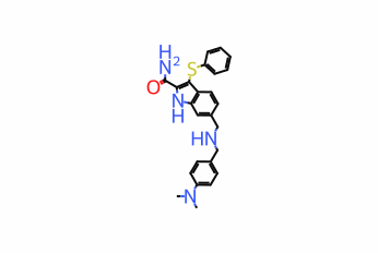 CN(C)c1ccc(CNCc2ccc3c(Sc4ccccc4)c(C(N)=O)[nH]c3c2)cc1